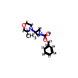 C[C@@H]1COCCN1C1CN(C(=O)OCc2ccccc2)C1